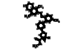 COC(=O)[C@]12C[C@H]1CN(c1cccc(-c3cc(C)ccc3OCc3cc(C)c4c(c3C)CCNC4)n1)C2